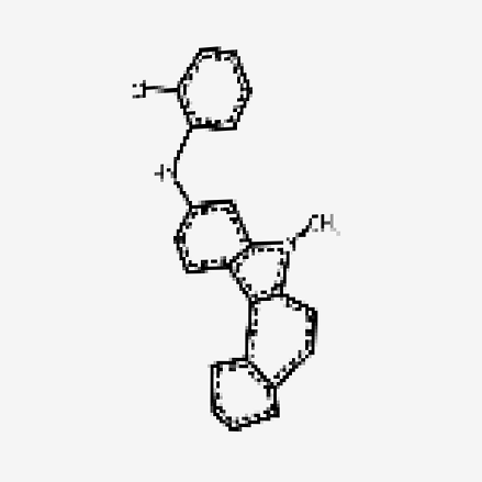 Cn1c2cc(Nc3ccccc3Cl)ccc2c2c3ccccc3ccc21